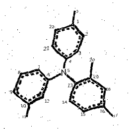 Cc1ccc(N(c2cccc(C)c2)c2ccc(C)cc2C)cc1